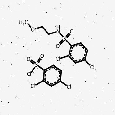 COCCNS(=O)(=O)c1ccc(Cl)cc1Cl.O=S(=O)(Cl)c1ccc(Cl)cc1Cl